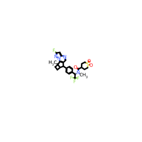 CN(C(=O)C1CCS(=O)(=O)CC1)[C@@H](c1ccc(C2c3cnc4cc(F)nn4c3C3(C)CCC23)cc1)C(F)(F)F